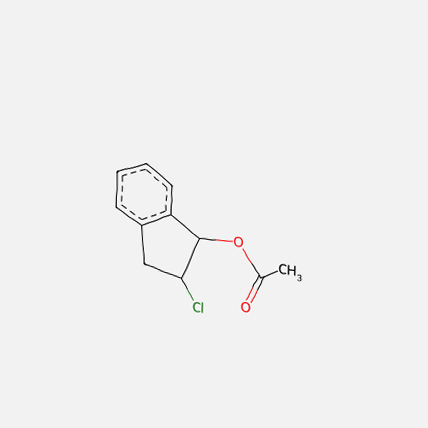 CC(=O)OC1c2ccccc2CC1Cl